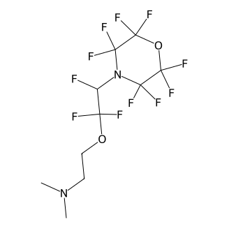 CN(C)CCOC(F)(F)C(F)N1C(F)(F)C(F)(F)OC(F)(F)C1(F)F